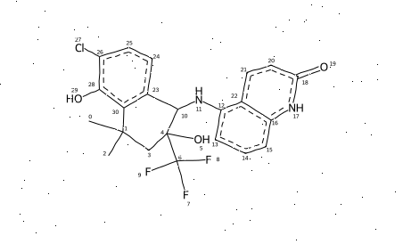 CC1(C)CC(O)(C(F)(F)F)C(Nc2cccc3[nH]c(=O)ccc23)c2ccc(Cl)c(O)c21